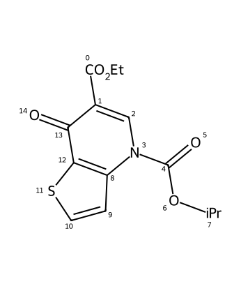 CCOC(=O)c1cn(C(=O)OC(C)C)c2ccsc2c1=O